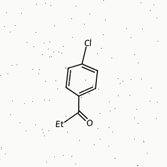 CCC(=O)c1c[c]c(Cl)cc1